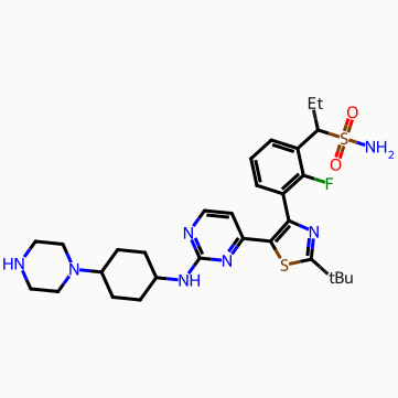 CCC(c1cccc(-c2nc(C(C)(C)C)sc2-c2ccnc(NC3CCC(N4CCNCC4)CC3)n2)c1F)S(N)(=O)=O